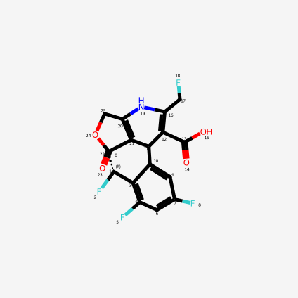 C[C@@H](F)c1c(F)cc(F)cc1C1C(C(=O)O)=C(CF)NC2=C1C(=O)OC2